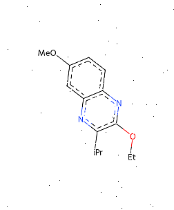 CCOc1nc2ccc(OC)cc2nc1C(C)C